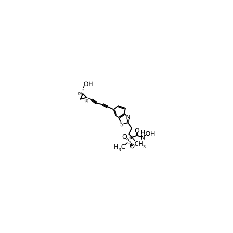 C[C@@](CCc1nc2ccc(C#CC#C[C@H]3C[C@@H]3CO)cc2s1)(C(=O)NO)S(C)(=O)=O